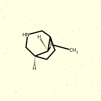 CN1[C@H]2[C@H]3CCC21CNC3